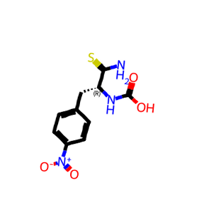 NC(=S)[C@@H](Cc1ccc([N+](=O)[O-])cc1)NC(=O)O